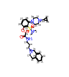 CN(C)S(=O)(=O)c1c(OCC(=O)NCCCN2CCc3ccccc3C2)cccc1N1CCN(C2CC2)CC1